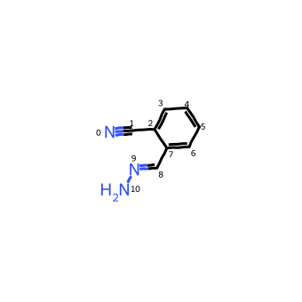 N#Cc1ccccc1C=NN